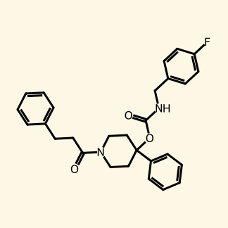 O=C(NCc1ccc(F)cc1)OC1(c2ccccc2)CCN(C(=O)CCc2ccccc2)CC1